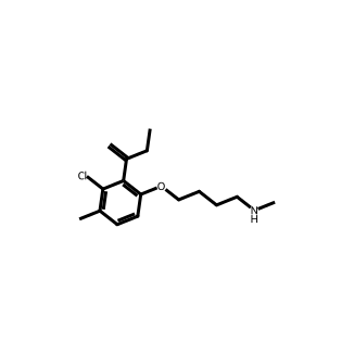 C=C(CC)c1c(OCCCCNC)ccc(C)c1Cl